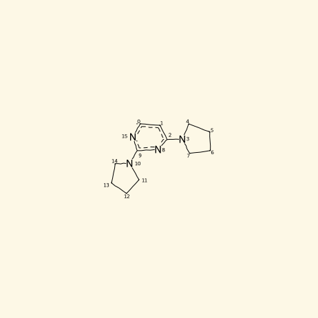 [c]1cc(N2CCCC2)nc(N2CCCC2)n1